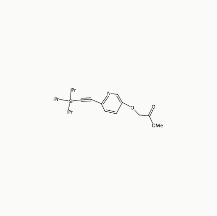 COC(=O)COc1ccc(C#C[Si](C(C)C)(C(C)C)C(C)C)nc1